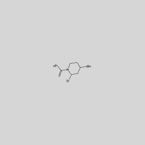 C=C(CCC)N1CCC(C(C)(C)C)CC1CC